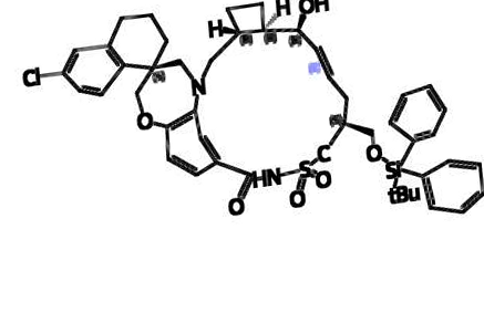 CC(C)(C)[Si](OC[C@@H]1C/C=C/[C@H](O)[C@@H]2CC[C@H]2CN2C[C@@]3(CCCc4cc(Cl)ccc43)COc3ccc(cc32)C(=O)NS(=O)(=O)C1)(c1ccccc1)c1ccccc1